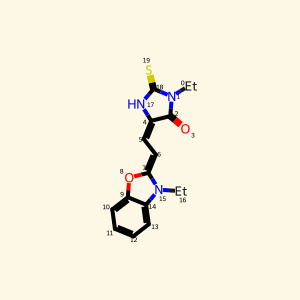 CCN1C(=O)/C(=C\C=C2/Oc3ccccc3N2CC)NC1=S